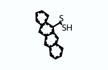 S=C(S)c1c2ccccc2cc2cc3ccccc3cc12